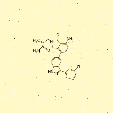 C=C(CN1Cc2c(-c3ccc4[nH]nc(-c5cccc(Cl)c5)c4c3)ccc(N)c2C1=O)C(N)=O